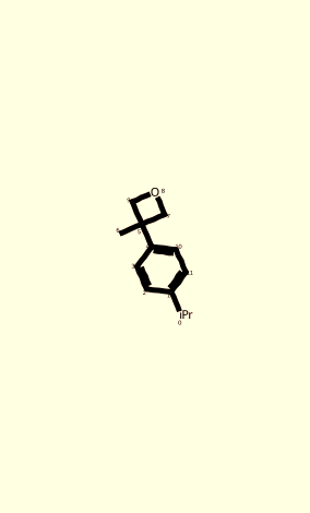 CC(C)c1ccc(C2(C)COC2)cc1